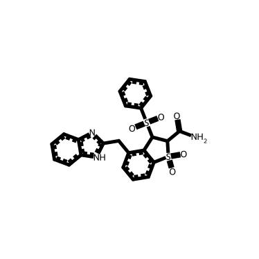 NC(=O)C1C(S(=O)(=O)c2ccccc2)c2c(Cc3nc4ccccc4[nH]3)cccc2S1(=O)=O